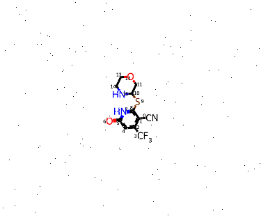 N#Cc1c(C(F)(F)F)cc(=O)[nH]c1SC1COCCN1